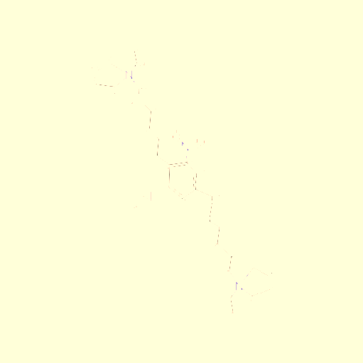 CC[N+](CC)(CC)CCCCCCc1ccc(CCCCCC[N+](CC)(CC)CC)c([N+](=O)[O-])c1.[I-].[I-]